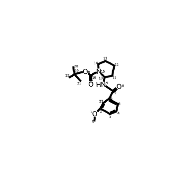 COc1cccc(C(=O)NC2CCCCN2C(=O)OC(C)(C)C)c1